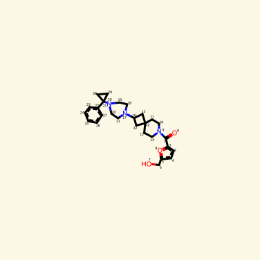 O=C(c1ccc(CO)o1)N1CCC2(CC1)CC(N1CCN(C3(c4ccccc4)CC3)CC1)C2